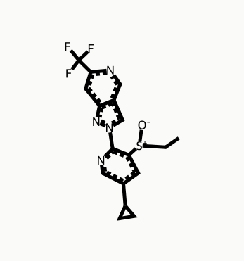 CC[S+]([O-])c1cc(C2CC2)cnc1-n1cc2cnc(C(F)(F)F)cc2n1